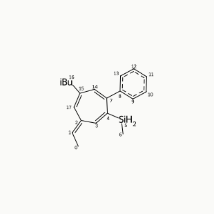 C/C=C1\C=C([SiH2]C)C(c2ccccc2)=CC(C(C)CC)=C1